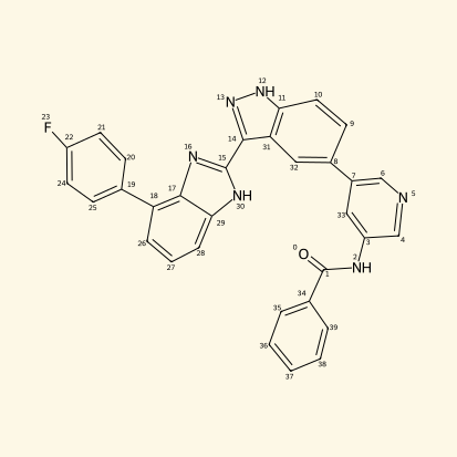 O=C(Nc1cncc(-c2ccc3[nH]nc(-c4nc5c(-c6ccc(F)cc6)cccc5[nH]4)c3c2)c1)c1ccccc1